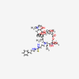 CC[C@H]1OC(=O)[C@H](C)[C@@H](O)[C@H](C)[C@@H](O[C@@H]2O[C@H](C)C[C@H](N(C)C)[C@H]2O)[C@](C)(O)C[C@@H](C)CN(CCCNC(=S)NCCCc2ccccc2)[C@H](C)[C@@H](O)[C@@]1(O)I